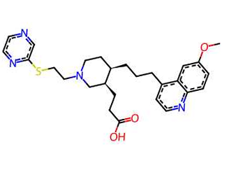 COc1ccc2nccc(CCC[C@@H]3CCN(CCSc4cnccn4)C[C@@H]3CCC(=O)O)c2c1